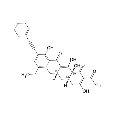 CCc1cc(C#CC2=CCCCC2)c(O)c2c1C[C@H]1C[C@H]3CC(O)=C(C(N)=O)C(=O)[C@@]3(O)C(O)=C1C2=O